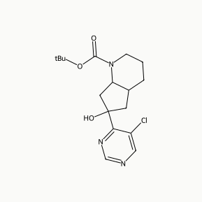 CC(C)(C)OC(=O)N1CCCC2CC(O)(c3ncncc3Cl)CC21